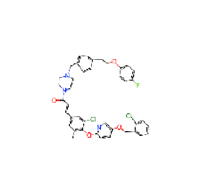 Cc1cc(/C=C/C(=O)N2CCN(Cc3ccc(CCOc4ccc(F)cc4)cc3)CC2)cc(Cl)c1Oc1ccc(OCc2ccccc2Cl)cn1